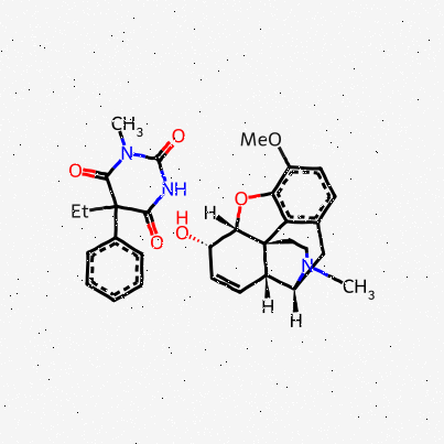 CCC1(c2ccccc2)C(=O)NC(=O)N(C)C1=O.COc1ccc2c3c1O[C@H]1[C@@H](O)C=C[C@H]4[C@@H](C2)N(C)CC[C@@]341